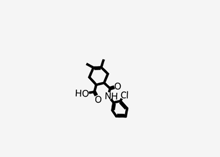 CC1=C(C)CC(C(=O)Nc2ccccc2Cl)C(C(=O)O)C1